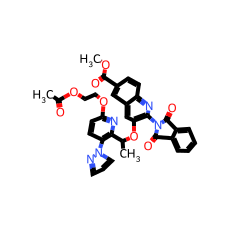 COC(=O)c1ccc2nc(N3C(=O)c4ccccc4C3=O)c(OC(C)c3nc(OCCOC(C)=O)ccc3-n3cccn3)cc2c1